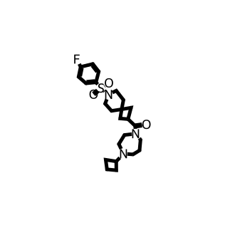 O=C(C1CC2(CCN(S(=O)(=O)c3ccc(F)cc3)CC2)C1)N1CCCN(C2CCC2)CC1